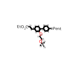 CCCCCc1ccc(-c2ccc(/C=C/C(=O)OCC)cc2OCCO[Si](C)(C)C)cc1